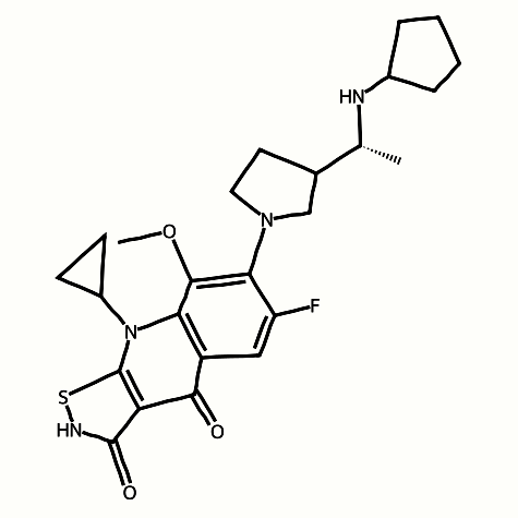 COc1c(N2CCC([C@@H](C)NC3CCCC3)C2)c(F)cc2c(=O)c3c(=O)[nH]sc3n(C3CC3)c12